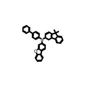 CC1(C)C2=C(CC(N(c3ccc(-c4ccccc4)cc3)c3ccc4c(c3)oc3ccccc34)C=C2)c2ccccc21